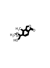 CNC(CO)c1ccc2c(c1C)COC2=O